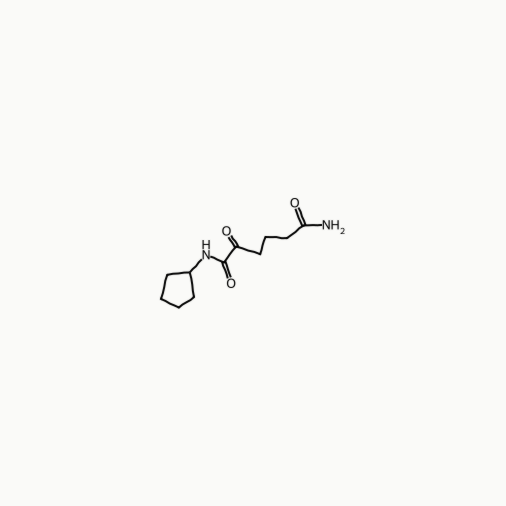 NC(=O)CCCC(=O)C(=O)NC1CCCC1